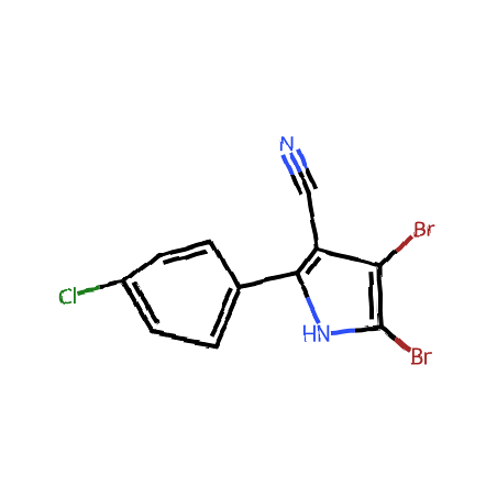 N#Cc1c(-c2ccc(Cl)cc2)[nH]c(Br)c1Br